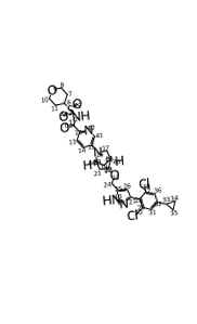 O=C(NS(=O)(=O)C1CCOCC1)c1ccc(N2C[C@@H]3C[C@H]2C[C@H]3OCc2cc(-c3c(Cl)cc(C4CC4)cc3Cl)n[nH]2)cn1